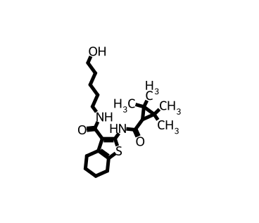 CC1(C)C(C(=O)Nc2sc3c(c2C(=O)NCCCCCO)CCCC3)C1(C)C